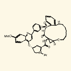 COc1ccc2c(O[C@@H]3C[C@@H](C(=O)N[C@]45C[C@H]4CCCCCCNc4ccccc4S(=O)(=O)NC5=O)N(C(C)=O)C3)cc(-c3ccccc3)nc2c1